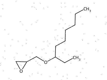 CCCCCCC(CC)OCC1CO1